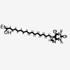 CCC(O)CCCCCCCCCCCCCCCn1cnc2c1c(=O)n(C)c(=O)n2C